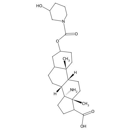 C[C@]12CCC(OC(=O)N3CCCC(O)C3)CC1CC[C@@H]1[C@H]2CC[C@]2(C)C(C(=O)O)CC[C@@]12N